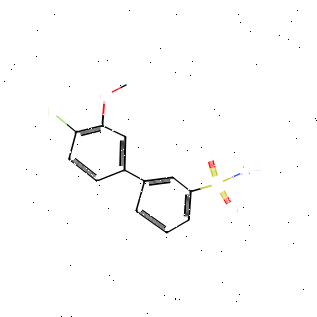 COc1cc(-c2cccc(S(N)(=O)=O)c2)ccc1F